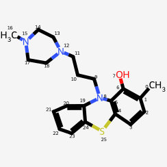 Cc1ccc2c(c1O)N(CCCN1CCN(C)CC1)c1ccccc1S2